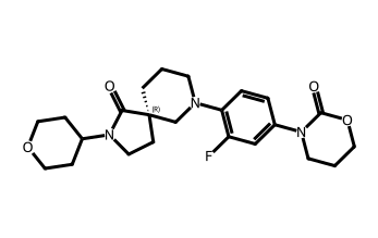 O=C1OCCCN1c1ccc(N2CCC[C@@]3(CCN(C4CCOCC4)C3=O)C2)c(F)c1